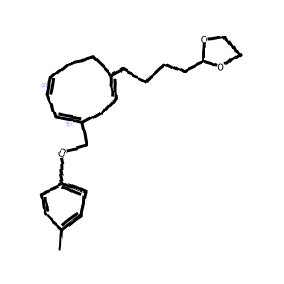 Cc1ccc(OC/C2=C/C=C\CCC(CCCCC3OCCO3)=CC2)cc1